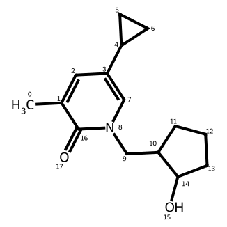 Cc1cc(C2CC2)cn(CC2CCCC2O)c1=O